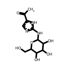 CC(=O)c1cnc(NC2OC(CO)C(O)C(O)C2O)[nH]1